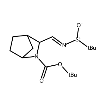 CC(C)(C)OC(=O)N1C2CCC(C2)C1C=N[S+]([O-])C(C)(C)C